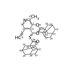 C#Cc1cnc(C)c(OC(=O)C23CC4CC(CC(C4)C2)C3)c1CSC(=O)C12CC3CC(CC(C3)C1)C2